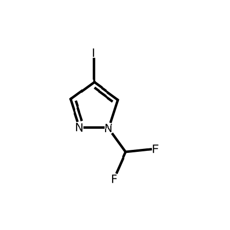 FC(F)n1cc(I)cn1